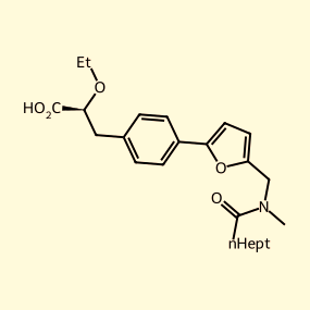 CCCCCCCC(=O)N(C)Cc1ccc(-c2ccc(C[C@H](OCC)C(=O)O)cc2)o1